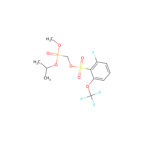 COP(=O)(COS(=O)(=O)c1c(F)cccc1OC(F)(F)F)OC(C)C